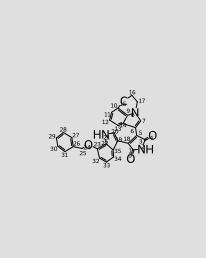 O=C1NC(=O)C(c2cn3c4c(cccc24)CCC3)=C1c1c[nH]c2c(OCc3ccccc3)cccc12